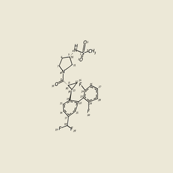 CS(=O)(=O)N[C@H]1CCN(C(=O)[C@@H]2C[C@H]2c2ccc(C(F)F)cc2-c2c(F)cccc2F)C1